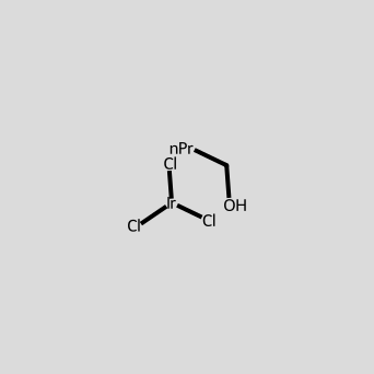 CCCCO.[Cl][Ir]([Cl])[Cl]